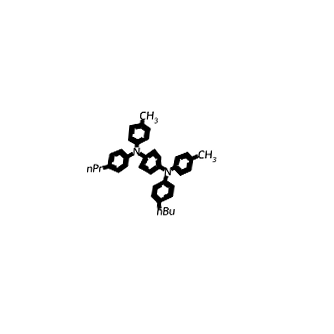 CCCCc1ccc(N(c2ccc(C)cc2)c2ccc(N(c3ccc(C)cc3)c3ccc(CCC)cc3)cc2)cc1